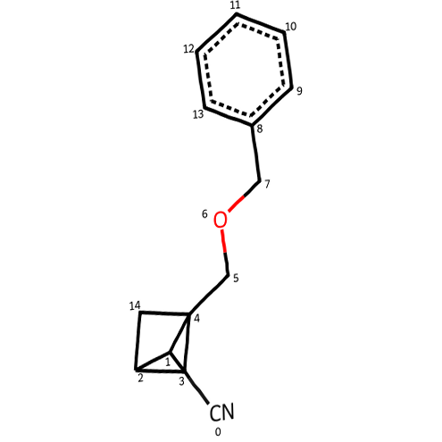 N#CC1C2CC1(COCc1ccccc1)C2